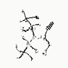 C#CCCO.CC(C)(C)[Si](C)(C)O[Si](C)(C)C(C)(C)C